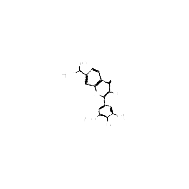 CCCCCCCCC(C)c1ccc2c(=O)c(O)c(-c3cc(O)c(O)c(O)c3)oc2c1